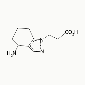 NC1CCCc2c1cnn2CCC(=O)O